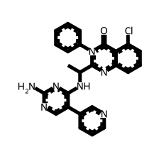 CC(Nc1nc(N)ncc1-c1cccnc1)c1nc2cccc(Cl)c2c(=O)n1-c1ccccc1